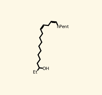 [CH2]CC(O)CCCCCCCC/C=C\C/C=C\CCCCC